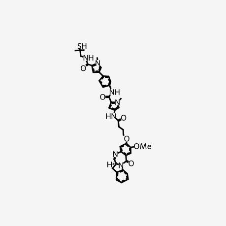 COc1cc2c(cc1OCCCC(=O)Nc1cc(C(=O)Nc3ccc(-c4cc(C(=O)NCC(C)(C)S)n(C)c4)cc3)n(C)c1)N=C[C@@H]1Cc3ccccc3N1C2=O